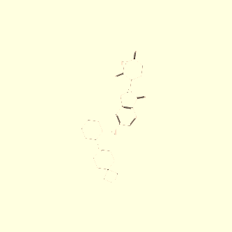 O=C1CCC(N2Cc3cc(N[C@H]4CCCC[C@@H]4N4CCC5(CC4)COC5)ccc3C2=O)C(=O)N1